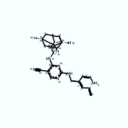 C=C/C=C(\C=C/N)CNc1ncc(C#N)c(NC[C@]23CC4C[C@H](C2)[C@@H](N)[C@@H](C4)C3)n1